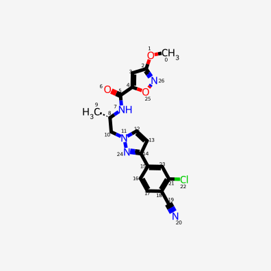 COc1cc(C(=O)N[C@@H](C)Cn2ccc(-c3ccc(C#N)c(Cl)c3)n2)on1